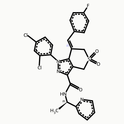 C[C@@H](NC(=O)c1nn(-c2ccc(Cl)cc2Cl)c2c1CS(=O)(=O)C/C2=C\c1ccc(F)cc1)c1ccccn1